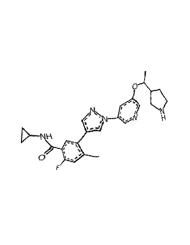 Cc1cc(F)c(C(=O)NC2CC2)cc1-c1cnn(-c2cncc(O[C@@H](C)C3CCNC3)c2)c1